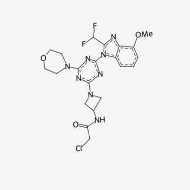 COc1cccc2c1nc(C(F)F)n2-c1nc(N2CCOCC2)nc(N2CC(NC(=O)CCl)C2)n1